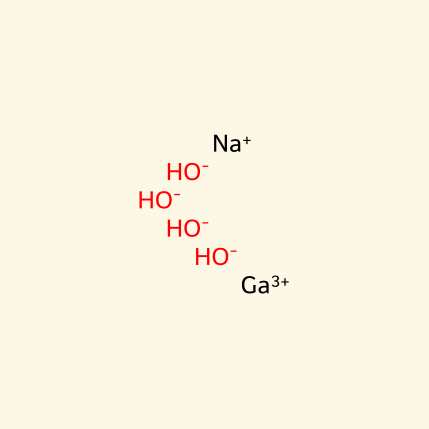 [Ga+3].[Na+].[OH-].[OH-].[OH-].[OH-]